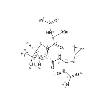 CC(C)C(=O)NC(C(=O)N1C[C@H]2[C@@H]([C@H]1C(=O)NC(CC1CC1)C(=O)C(N)=O)C2(C)C)C(C)(C)C